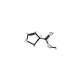 COC(=O)C1C=CSC1